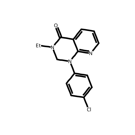 CCN1CN(c2ccc(Cl)cc2)c2ncccc2C1=O